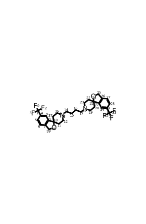 FC(F)(F)c1ccc2c(c1)C1(CCN(CCCCN3CCC4(CC3)OCc3ccc(C(F)(F)F)cc34)CC1)OC2